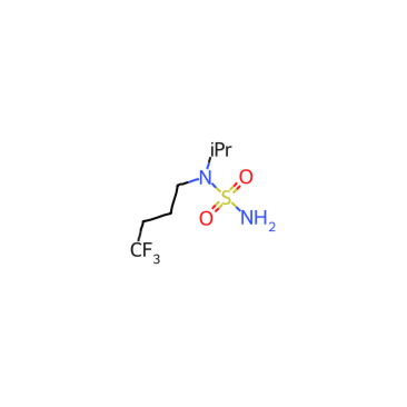 CC(C)N(CCCC(F)(F)F)S(N)(=O)=O